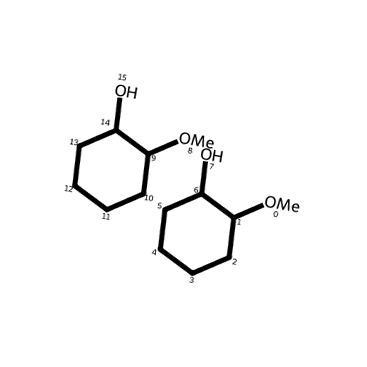 COC1CCCCC1O.COC1CCCCC1O